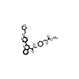 CC(C)(C)OC(=O)NC[C@H]1CC[C@H](CNC(=O)c2cc(-c3ccc(OCC4CCOC4)nc3)nc3ccccc23)CC1